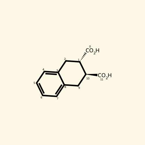 O=C(O)[C@H]1Cc2ccccc2C[C@@H]1C(=O)O